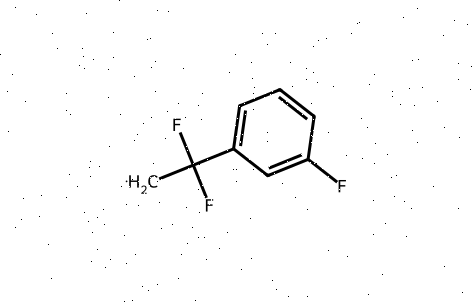 [CH2]C(F)(F)c1cccc(F)c1